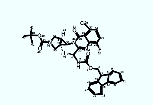 C[C@H](NC(=O)OCC1c2ccccc2-c2ccccc21)c1nc2c(F)ccc(Cl)c2c(=O)n1C1[C@H]2CN(C(=O)OC(C)(C)C)C[C@@H]12